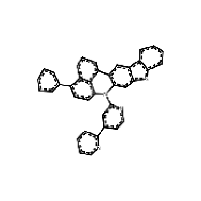 c1ccc(-c2ccc3c4c(cccc24)-c2cc4c(cc2N3c2cc(-c3ccccn3)ccn2)sc2ccccc24)cc1